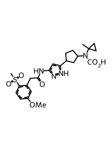 COc1ccc(S(C)(=O)=O)c(CC(=O)Nc2cc(C3CCC(N(C(=O)O)C4(C)CC4)C3)[nH]n2)c1